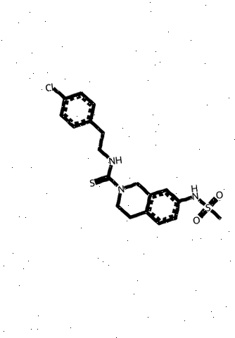 CS(=O)(=O)Nc1ccc2c(c1)CN(C(=S)NCCc1ccc(Cl)cc1)CC2